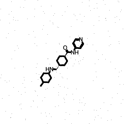 CC1CCC(NC[C@H]2CC[C@H](C(=O)Nc3ccncc3)CC2)CC1